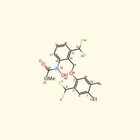 CCc1cc(C(F)F)c(OCc2c(C(F)F)cccc2N(O)C(=O)OC)cc1C